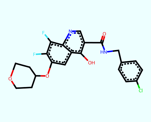 O=C(NCc1ccc(Cl)cc1)c1cnc2c(F)c(F)c(OC3CCOCC3)cc2c1O